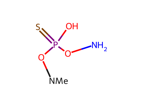 CNOP(O)(=S)ON